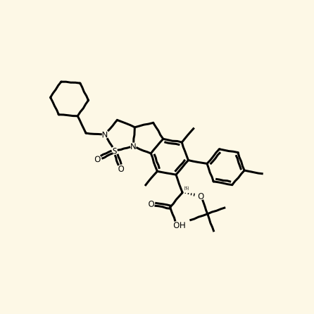 Cc1ccc(-c2c(C)c3c(c(C)c2[C@H](OC(C)(C)C)C(=O)O)N2C(C3)CN(CC3CCCCC3)S2(=O)=O)cc1